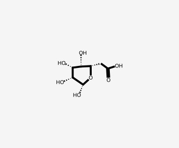 O=C(O)C[C@@H]1O[C@H](O)[C@H](O)[C@H](O)[C@@H]1O